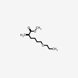 C=C(CCCCOCCC)C(=O)OC